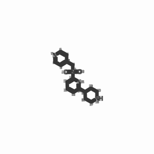 O=S(=O)(Cc1ccncc1)c1cccc(C2CCNCC2)n1